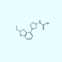 CCC1Cc2c(cccc2N2CC[C@H](NC(=O)O)C2)O1